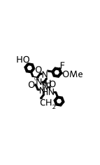 C=CCN1CC(=O)N2[C@@H](Cc3ccc(O)cc3)C(=O)N(Cc3ccc(OC)c(F)c3)C[C@@H]2N1C(=O)NCc1ccccc1